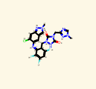 Cn1cnc(Cn2c(=O)[nH]n(CC3C(F)=CC(F)=C(F)/C3=N/c3cc4cn(C)nc4cc3Cl)c2=O)n1